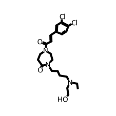 CCN(CCO)CCCCN1CCN(C(=O)C=Cc2ccc(Cl)c(Cl)c2)CCC1=O